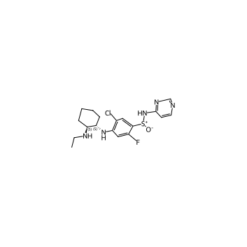 CCN[C@H]1CCCC[C@@H]1Nc1cc(F)c([S+]([O-])Nc2ccncn2)cc1Cl